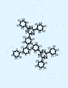 c1ccc(-c2ccc(-c3cccc(-c4nc(-c5ccccc5)nc(-c5ccccc5)n4)c3)c(-c3ccc(-c4nc(-c5ccccc5)nc(-c5ccccc5)n4)cc3)c2)cc1